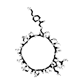 C=C(C)O[C@H]([C@H](C)C/C=C/C)[C@H]1C(=O)N[C@@H](CC)C(=O)N(C)[C@H](C)C(=O)N[C@@H]([C@H](C)COCC(=O)N2CCN(CCC(F)(F)F)CC2)C(=O)N[C@@H](C(C)C)C(=O)N(C)[C@@H](CC(C)C)C(=O)N[C@@H](C)C(=O)N[C@H](C)C(=O)N(C)[C@@H](CC(C)C)C(=O)N(C)[C@@H](CC(C)C)C(=O)N(C)[C@@H](C(C)C)C(=O)N1C